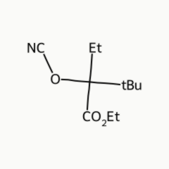 CCOC(=O)C(CC)(OC#N)C(C)(C)C